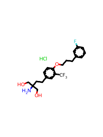 Cl.NC(CO)(CO)CCc1ccc(OCCCc2cccc(F)c2)c(C(F)(F)F)c1